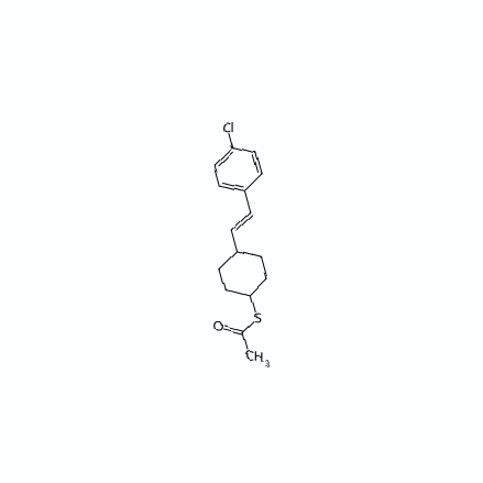 CC(=O)SC1CCC(/C=C/c2ccc(Cl)cc2)CC1